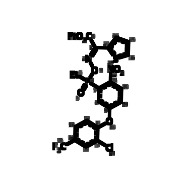 CCOC(=O)C(=NOP(=O)(CC)c1cc(Oc2ccc(C(F)(F)F)cc2Cl)ccc1[N+](=O)[O-])c1cccs1